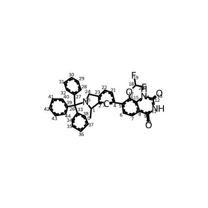 CC1c2cc(-c3ccc4c(=O)[nH]c(=O)[nH]c4c3OC(F)F)ccc2CN1C(c1ccccc1)(c1ccccc1)c1ccccc1